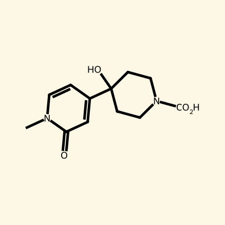 Cn1ccc(C2(O)CCN(C(=O)O)CC2)cc1=O